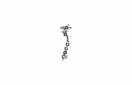 CCOc1cc([C@@H](CS(C)(=O)=O)N2C(=O)c3ccc(CCCCCN4CCC(N5CCC(c6ccc(C7CCC(=O)NC7=O)cc6)CC5)CC4)cc3C2=O)ccc1OC